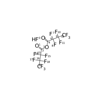 F.O=C(OC(=O)C(F)(F)C(F)(F)C(F)(F)F)C(F)(F)C(F)(F)C(F)(F)F